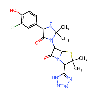 CC1(C)SC2C(N3C(=O)C(c4ccc(O)c(Cl)c4)NC3(C)C)C(=O)N2C1c1nnn[nH]1